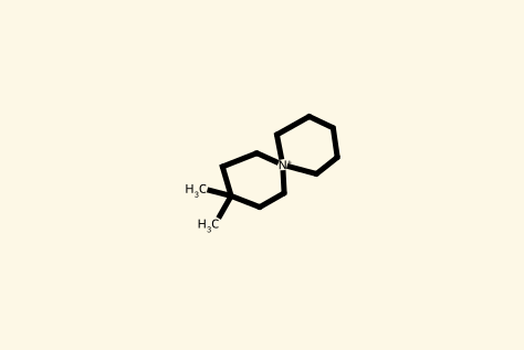 CC1(C)CC[N+]2(CCCCC2)CC1